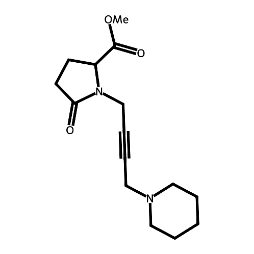 COC(=O)C1CCC(=O)N1CC#CCN1CCCCC1